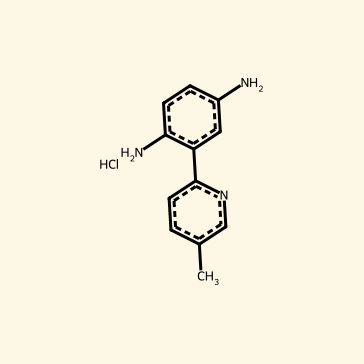 Cc1ccc(-c2cc(N)ccc2N)nc1.Cl